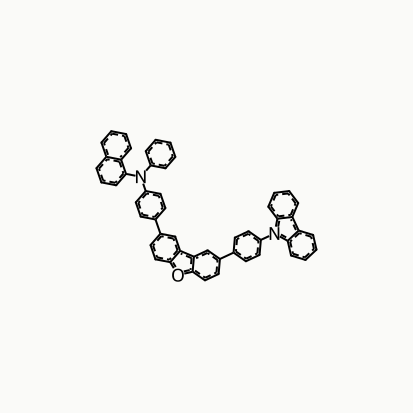 c1ccc(N(c2ccc(-c3ccc4oc5ccc(-c6ccc(-n7c8ccccc8c8ccccc87)cc6)cc5c4c3)cc2)c2cccc3ccccc23)cc1